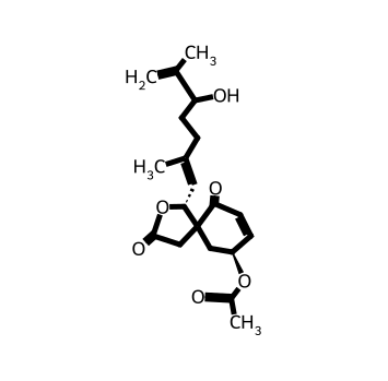 C=C(C)C(O)CC/C(C)=C/[C@H]1OC(=O)CC12C[C@H](OC(C)=O)C=CC2=O